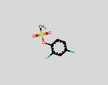 CS(=O)(=O)Oc1ccc(F)cc1F